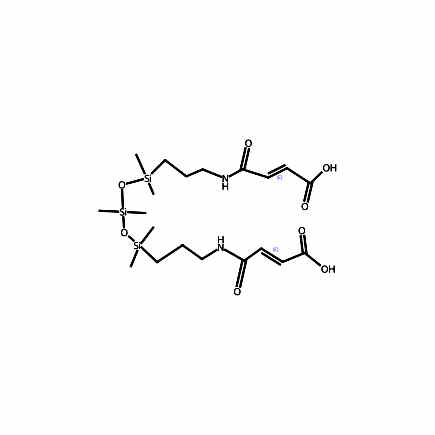 C[Si](C)(CCCNC(=O)/C=C/C(=O)O)O[Si](C)(C)O[Si](C)(C)CCCNC(=O)/C=C/C(=O)O